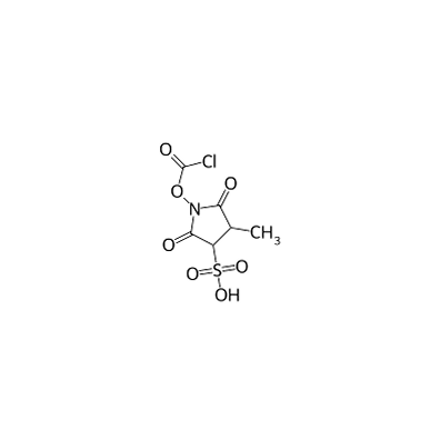 CC1C(=O)N(OC(=O)Cl)C(=O)C1S(=O)(=O)O